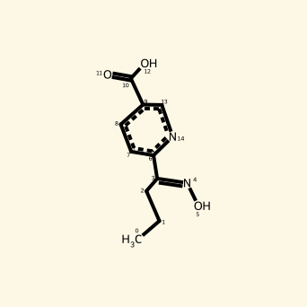 CCCC(=NO)c1ccc(C(=O)O)cn1